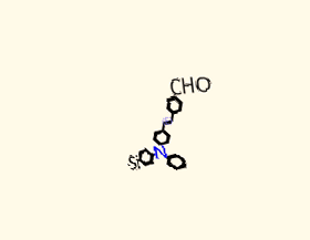 C[Si](C)(C)c1ccc(N(c2ccccc2)c2ccc(/C=C/c3ccc(C=O)cc3)cc2)cc1